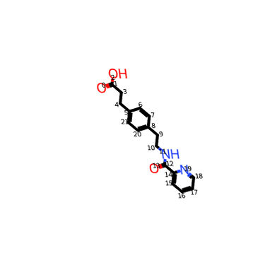 O=C(O)CCc1ccc(CCNC(=O)c2ccccn2)cc1